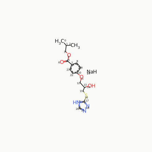 CC(C)COC(=O)c1ccc(OCC(O)CSc2nnc[nH]2)cc1.[NaH]